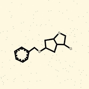 ClC1COC2CC(OCc3ccccc3)CC12